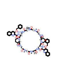 CC[C@H](C)[C@H]1C(=O)NC[C@@H](NC(=O)c2nc3ccccc3cc2OCc2ccccc2)C(=O)N2CCCC[C@H]2C(=O)NCC(=O)N(C)CC(=O)N(C)[C@@H](C(C)C)C(=O)NC[C@@H](NC(=O)c2nc3ccccc3cc2OCc2ccccc2)C(=O)N2CCCC[C@H]2C(=O)NCC(=O)N(C)CC(=O)N1C